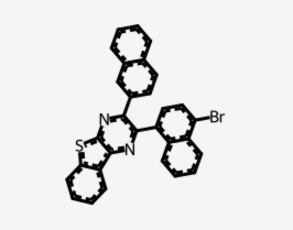 Brc1ccc(-c2nc3c(nc2-c2ccc4ccccc4c2)sc2ccccc23)c2ccccc12